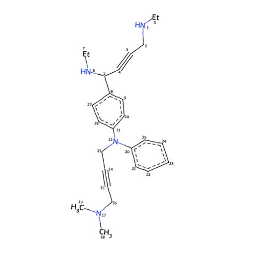 CCNCC#CC(NCC)c1ccc(N(CC#CCN(C)C)c2ccccc2)cc1